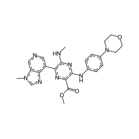 CNc1nc(Nc2ccc(N3CCOCC3)cc2)c(C(=O)OC)nc1-c1cncc2c1ncn2C